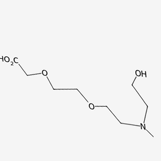 CC(=O)N(CCO)CCOCCOCC(=O)O